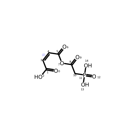 O=C(O)/C=C\C(=O)OC(=O)CP(=O)(O)O